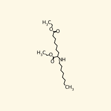 CCCCCCCCNC(CCCCCCC(=O)OCC)C(=O)OCC